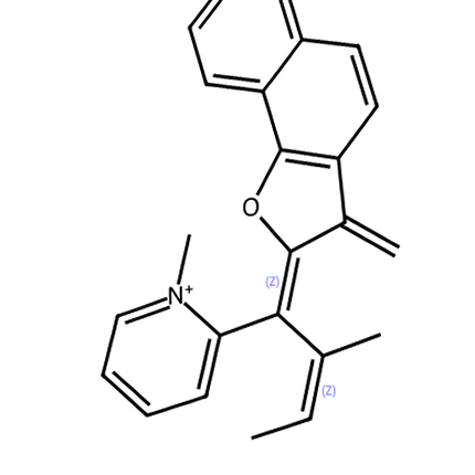 C=c1/c(=C(\C(C)=C/C)c2cccc[n+]2C)oc2c1ccc1ccccc12